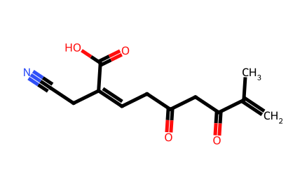 C=C(C)C(=O)CC(=O)CC=C(CC#N)C(=O)O